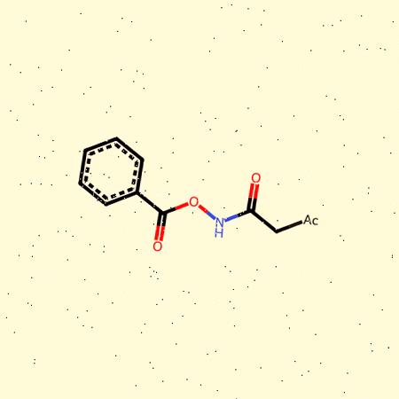 CC(=O)CC(=O)NOC(=O)c1ccccc1